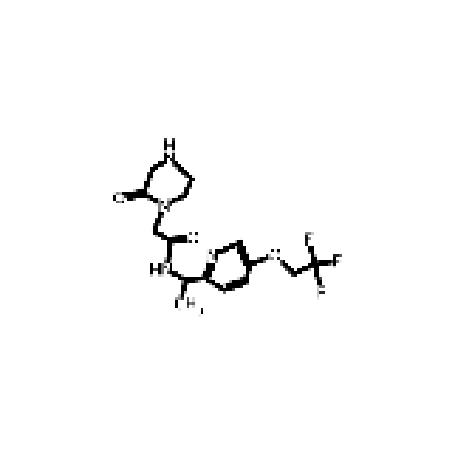 CC(NC(=O)CN1CCNCC1=O)c1ccc(OCC(F)(F)F)cn1